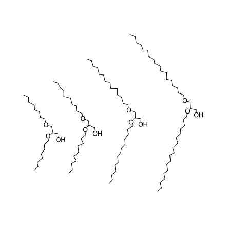 CCCCCCCCCCCCCCCCCCOCC(CO)OCCCCCCCCCCCCCCCCCC.CCCCCCCCCCCCCCOCC(CO)OCCCCCCCCCCCCCC.CCCCCCCCCCOCC(CO)OCCCCCCCCCC.CCCCCCCCOCC(CO)OCCCCCCCC